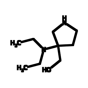 CCN(CC)C1(CO)CCNC1